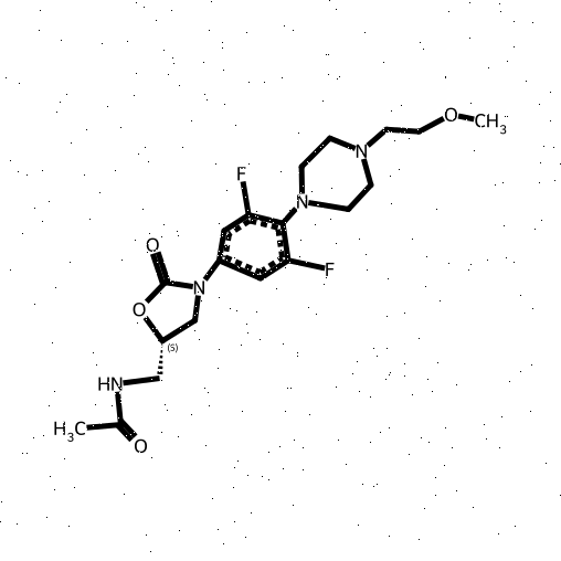 COCCN1CCN(c2c(F)cc(N3C[C@H](CNC(C)=O)OC3=O)cc2F)CC1